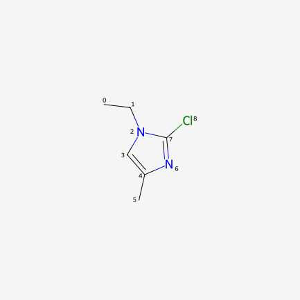 CCn1cc(C)nc1Cl